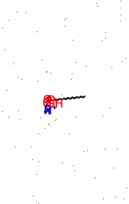 CCCCCCCCCCCCCCCCOP(=O)(O)OC1CC[N+](CC)(CC)CC1